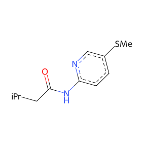 CSc1ccc(NC(=O)CC(C)C)nc1